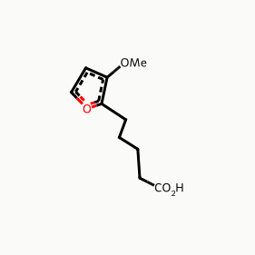 COc1ccoc1CCCCC(=O)O